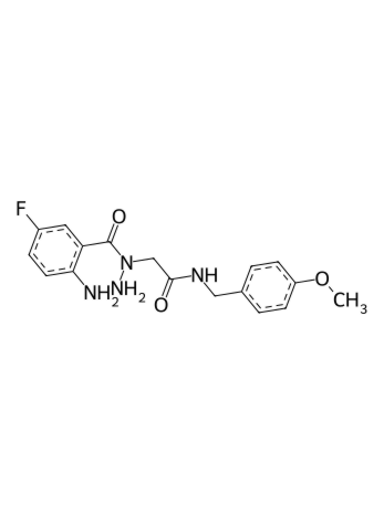 COc1ccc(CNC(=O)CN(N)C(=O)c2cc(F)ccc2N)cc1